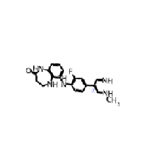 CN/C=C(\C=N)c1ccc(Nc2cccc3c2NCCC(=O)N3)c(F)c1